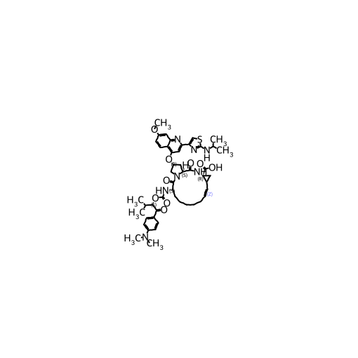 COc1ccc2c(O[C@@H]3C[C@H]4C(=O)N[C@]5(C(=O)O)CC5/C=C\CCCCC[C@H](NC(=O)O[C@H](C(=O)c5ccc(N(C)C)cc5)C(C)C)C(=O)N4C3)cc(-c3csc(NC(C)C)n3)nc2c1